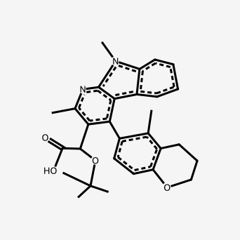 Cc1nc2c(c(-c3ccc4c(c3C)CCCO4)c1C(OC(C)(C)C)C(=O)O)c1ccccc1n2C